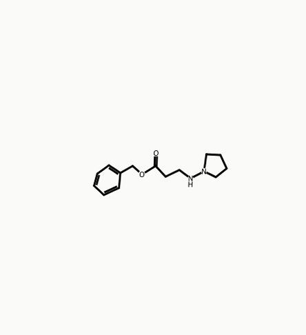 O=C(CCNN1CCCC1)OCc1ccccc1